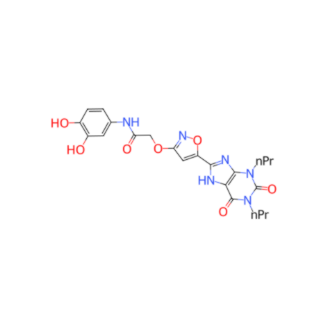 CCCn1c(=O)c2[nH]c(-c3cc(OCC(=O)Nc4ccc(O)c(O)c4)no3)nc2n(CCC)c1=O